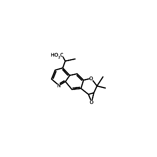 CC(C(=O)O)c1ccnc2cc3c(cc12)OC(C)(C)C1OC31